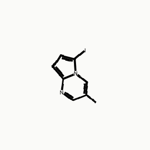 Cc1cnc2ccc(I)n2c1